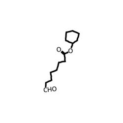 O=CCCCCCCC(=O)OC1CCCCC1